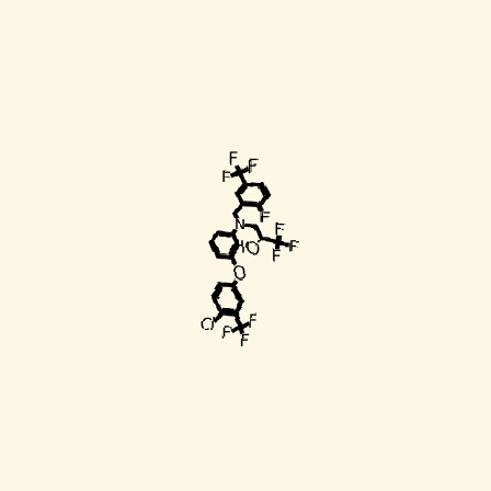 O[C@H](CN(Cc1cc(C(F)(F)F)ccc1F)c1cccc(Oc2ccc(Cl)c(C(F)(F)F)c2)c1)C(F)(F)F